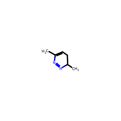 CC1=CCC(C)N=N1